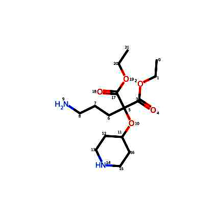 CCOC(=O)C(CCCN)(OC1CCNCC1)C(=O)OCC